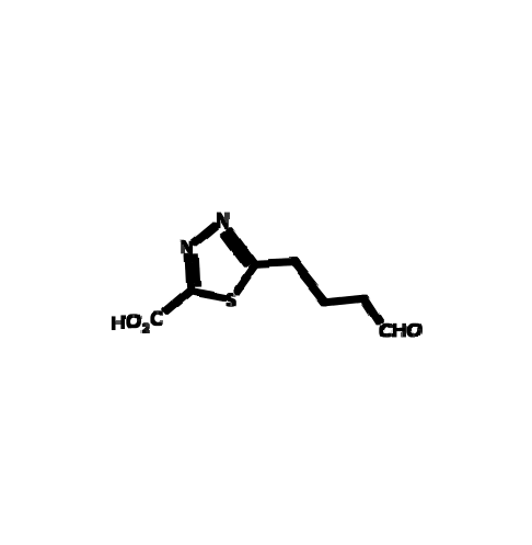 O=CCCCc1nnc(C(=O)O)s1